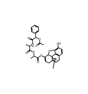 CC(=O)OC(C(=O)NC(C)C(=O)OC(C)C(=O)OC1=CCC2(O)C3Cc4ccc(O)c5c4C2(CCN3C)C1O5)c1ccccc1